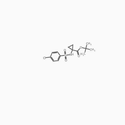 CC(C)(C)OC(=O)C1(NS(=O)(=O)c2ccc(Cl)cc2)CC1